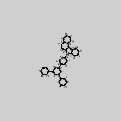 c1ccc(-c2cc(-c3ccccc3)cc(-c3ccc(-n4c5ccccc5c5c6ccccc6ccc54)nc3)c2)cc1